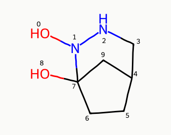 ON1NCC2CCC1(O)C2